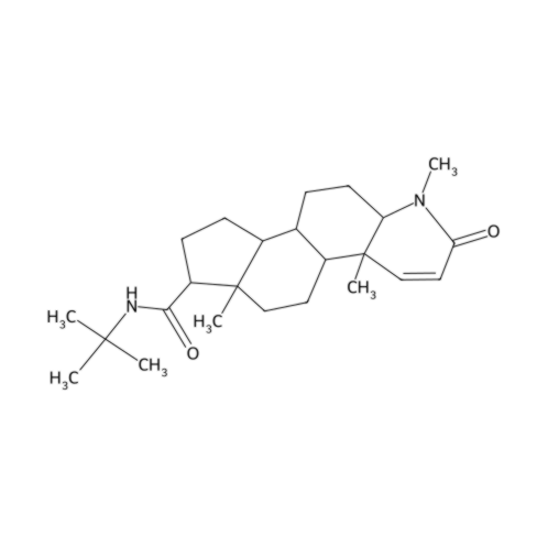 CN1C(=O)C=CC2(C)C3CCC4(C)C(C(=O)NC(C)(C)C)CCC4C3CCC12